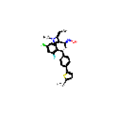 CC(=O)/C=C1\C(/C(C[C@H](c2ccc(-c3ccc(C(=O)O)s3)cc2)c2ccc(Cl)cc2F)=N/O)=CN1C